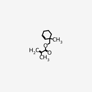 C=C(C)C(=O)OCC1(C)C=CCCC1